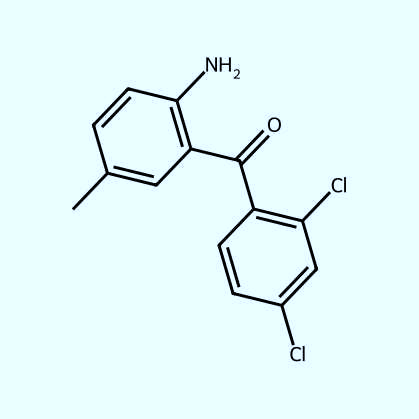 Cc1ccc(N)c(C(=O)c2ccc(Cl)cc2Cl)c1